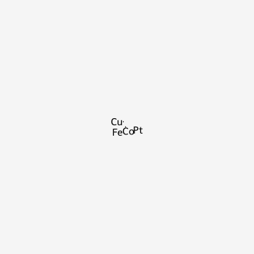 [Co].[Cu].[Fe].[Pt]